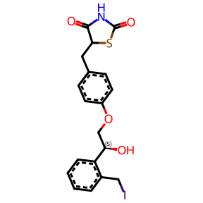 O=C1NC(=O)C(Cc2ccc(OC[C@@H](O)c3ccccc3CI)cc2)S1